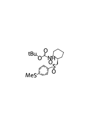 CSc1ccc(S(=O)(=O)C[C@@H]2CCCC[C@@H]2NC(=O)OC(C)(C)C)cc1